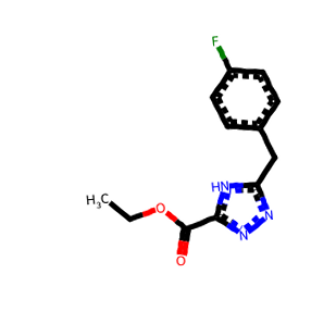 CCOC(=O)c1nnc(Cc2ccc(F)cc2)[nH]1